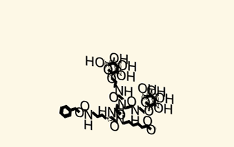 COC(=O)CCCCCNC(=O)[C@H](CCCCNC(=O)OCc1ccccc1)NC(=O)CN(CC(=O)NCCO[C@H]1O[C@H](CO)[C@@H](O)[C@H](O)[C@@H]1O)CC(=O)NCCO[C@H]1O[C@H](CO)[C@@H](O)[C@H](O)[C@@H]1O